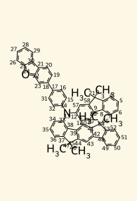 CC1(C)c2ccccc2-c2ccc(N(c3ccc(-c4ccc5c(c4)oc4ccccc45)cc3)c3cccc4c3-c3cc5c(cc3C4(C)C)-c3ccccc3C5(C)C)cc21